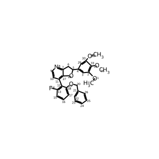 COc1cc(C2Cc3nccc(-c4c(F)cccc4OCc4ccccc4)c3O2)cc(OC)c1OC